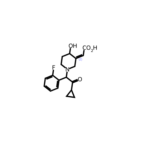 O=C(O)/C=C1/CN(C(C(=O)C2CC2)c2ccccc2F)CCC1O